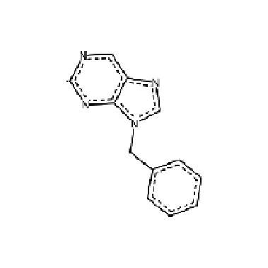 [c]1ncc2ncn(Cc3ccccc3)c2n1